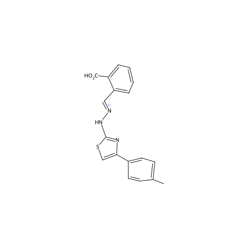 Cc1ccc(-c2csc(N/N=C/c3ccccc3C(=O)O)n2)cc1